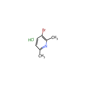 Cc1ccc(Br)c(C)n1.Cl